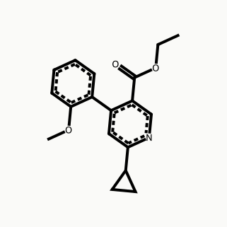 CCOC(=O)c1cnc(C2CC2)cc1-c1ccccc1OC